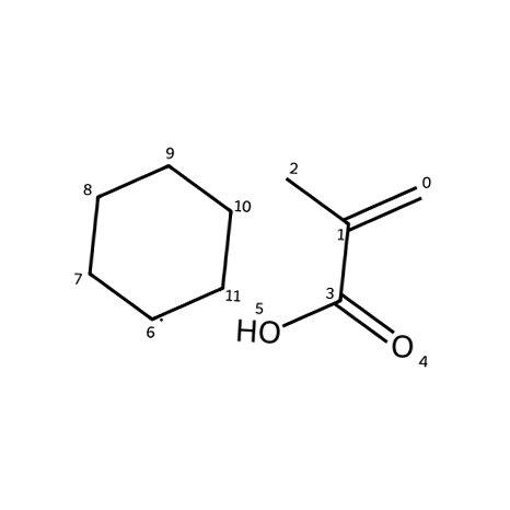 C=C(C)C(=O)O.[CH]1CCCCC1